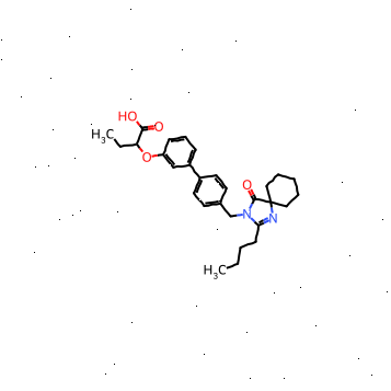 CCCCC1=NC2(CCCCC2)C(=O)N1Cc1ccc(-c2cccc(OC(CC)C(=O)O)c2)cc1